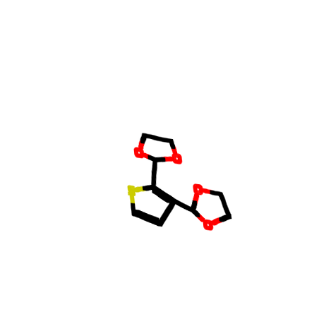 c1cc(C2OCCO2)c(C2OCCO2)s1